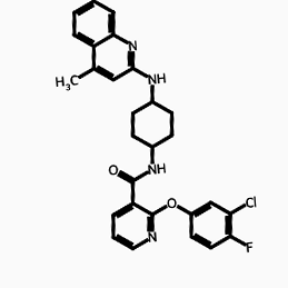 Cc1cc(NC2CCC(NC(=O)c3cccnc3Oc3ccc(F)c(Cl)c3)CC2)nc2ccccc12